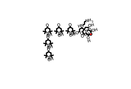 CC1(C)CC(=O)CC(C)(C)N1O.CC1(C)CC(=O)CC(C)(C)N1O.CC1(C)CC(=O)CC(C)(C)N1O.CC1(C)CC(=O)CC(C)(C)N1O.CC1(C)CC(=O)CC(C)(C)N1O.NCCNC(CC(=O)O)C(CC(=O)O)(CC(=O)O)N(CC(=O)O)CC(=O)O